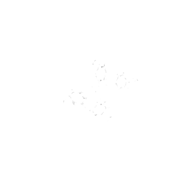 CCC(C)(C(C)P(c1ccc(C(C)(C)C)cc1)c1ccc(C(C)(C)C)cc1)C(C)P(c1ccc(C(C)(C)C)cc1)c1ccc(C(C)(C)C)cc1